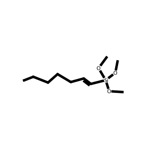 CCCCC/C=C/[Si](OC)(OC)OC